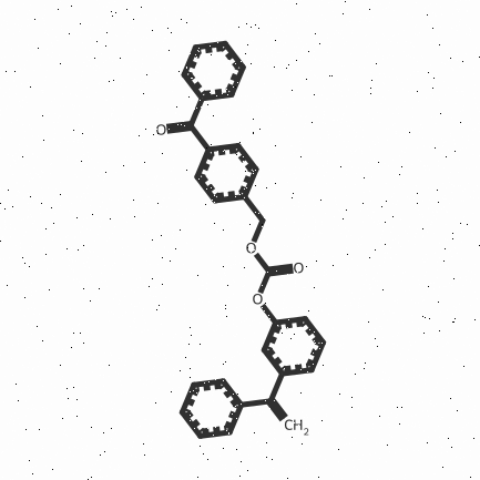 C=C(c1ccccc1)c1cccc(OC(=O)OCc2ccc(C(=O)c3ccccc3)cc2)c1